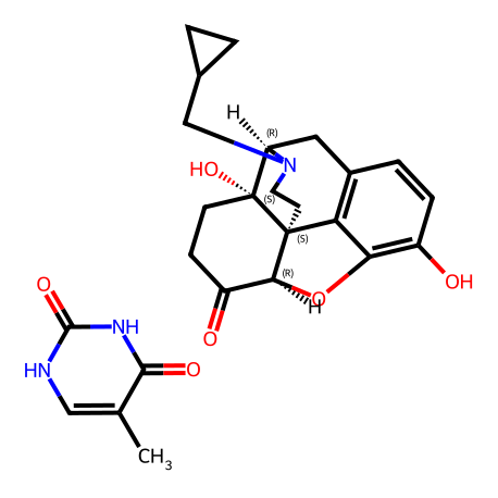 Cc1c[nH]c(=O)[nH]c1=O.O=C1CC[C@@]2(O)[C@H]3Cc4ccc(O)c5c4[C@@]2(CCN3CC2CC2)[C@H]1O5